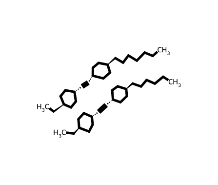 CCCCCCC[C@H]1CC[C@H](C#C[C@H]2CC[C@H](CC)CC2)CC1.CCCCCC[C@H]1CC[C@H](C#C[C@H]2CC[C@H](CC)CC2)CC1